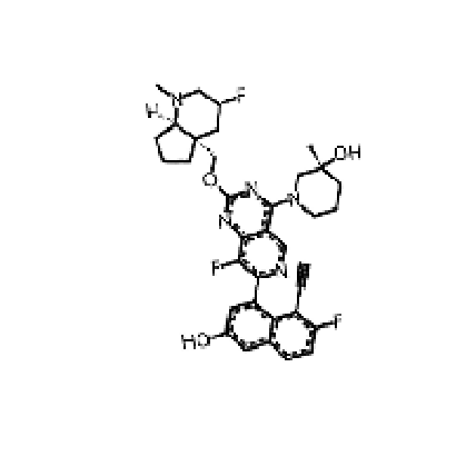 C#Cc1c(F)ccc2cc(O)cc(-c3ncc4c(N5CCC[C@@](C)(O)C5)nc(OC[C@]56CCC[C@H]5N(C)C[C@@H](F)C6)nc4c3F)c12